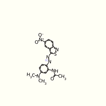 CC(=O)Nc1cc(N(C)C)ccc1/N=N/c1snc2ccc([N+](=O)[O-])cc12